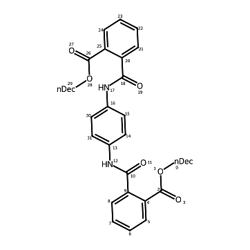 CCCCCCCCCCOC(=O)c1ccccc1C(=O)Nc1ccc(NC(=O)c2ccccc2C(=O)OCCCCCCCCCC)cc1